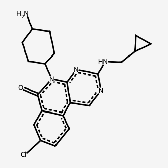 NC1CCC(n2c(=O)c3cc(Cl)ccc3c3cnc(NCC4CC4)nc32)CC1